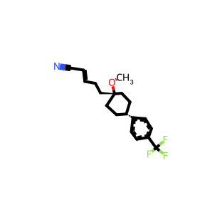 CO[C@]1(CCC=CC#N)CC[C@H](c2ccc(C(F)(F)F)cc2)CC1